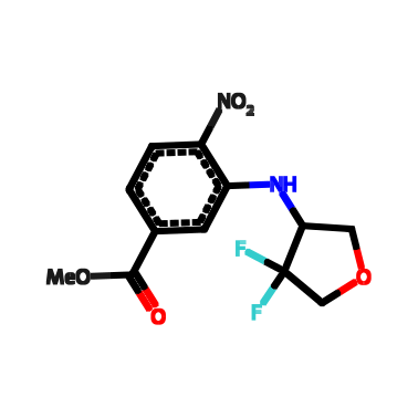 COC(=O)c1ccc([N+](=O)[O-])c(NC2COCC2(F)F)c1